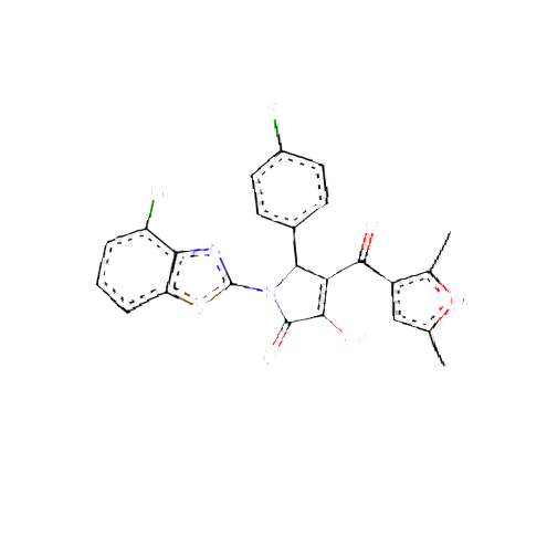 Cc1cc(C(=O)C2=C(O)C(=O)N(c3nc4c(Cl)cccc4s3)C2c2ccc(F)cc2)c(C)o1